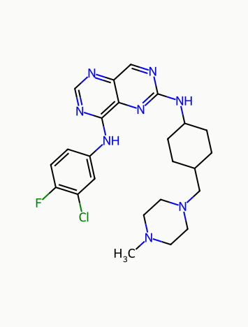 CN1CCN(CC2CCC(Nc3ncc4ncnc(Nc5ccc(F)c(Cl)c5)c4n3)CC2)CC1